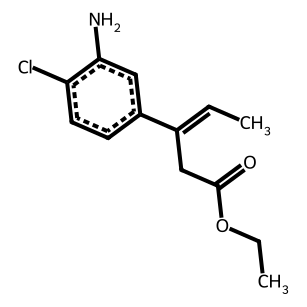 CC=C(CC(=O)OCC)c1ccc(Cl)c(N)c1